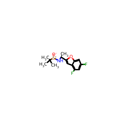 C[C@@H](N[S@@+]([O-])C(C)(C)C)c1cc2c(F)cc(F)cc2o1